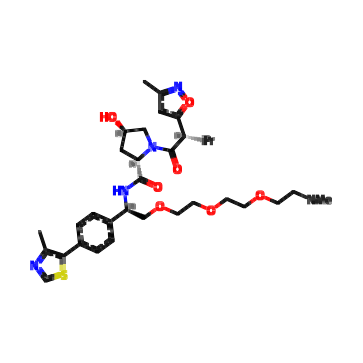 CNCCOCCOCCOC[C@H](NC(=O)[C@@H]1C[C@@H](O)CN1C(=O)[C@H](c1cc(C)no1)C(C)C)c1ccc(-c2scnc2C)cc1